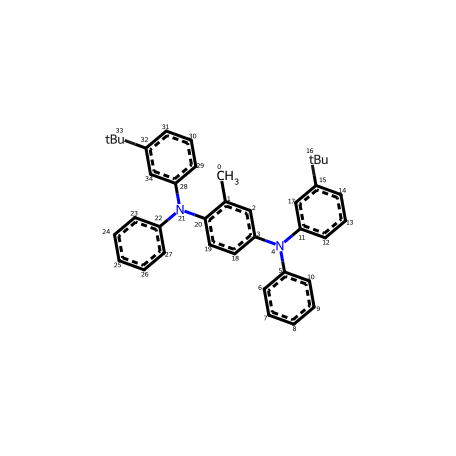 Cc1cc(N(c2ccccc2)c2cccc(C(C)(C)C)c2)ccc1N(c1ccccc1)c1cccc(C(C)(C)C)c1